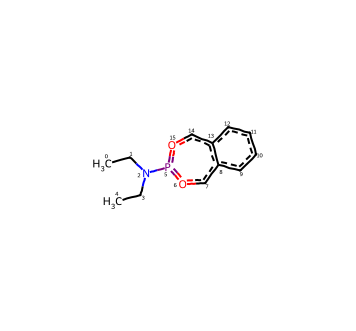 CCN(CC)p1occ2ccccc2co1